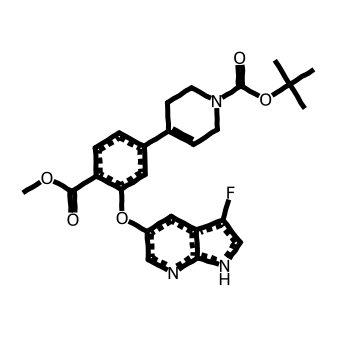 COC(=O)c1ccc(C2=CCN(C(=O)OC(C)(C)C)CC2)cc1Oc1cnc2[nH]cc(F)c2c1